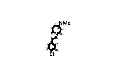 CCc1ccc(CCN2CCCC(NC)CC2)cc1